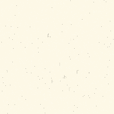 COC[N+]1(C)CCCCC1.F[B-](F)(F)F